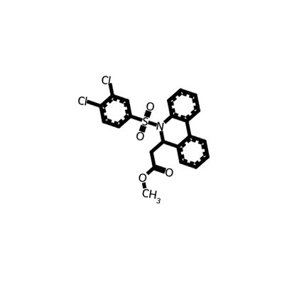 COC(=O)CC1c2ccccc2-c2ccccc2N1S(=O)(=O)c1ccc(Cl)c(Cl)c1